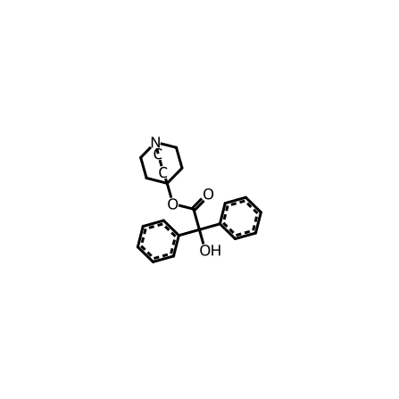 O=C(OC12CCN(CC1)CC2)C(O)(c1ccccc1)c1ccccc1